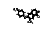 Cc1cc2c(=O)[nH]ccc2cc1O[C@H]1CC[C@H](N)CC1